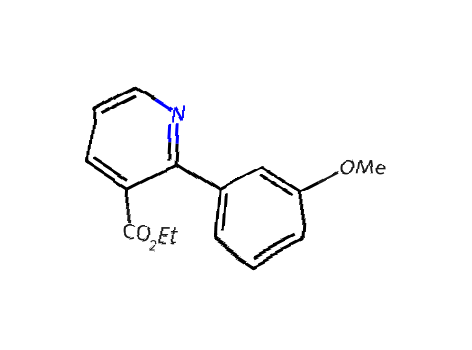 CCOC(=O)c1cccnc1-c1cccc(OC)c1